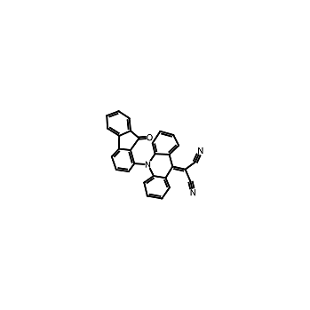 N#CC(C#N)=C1c2ccccc2N(c2cccc3c2C(=O)c2ccccc2-3)c2ccccc21